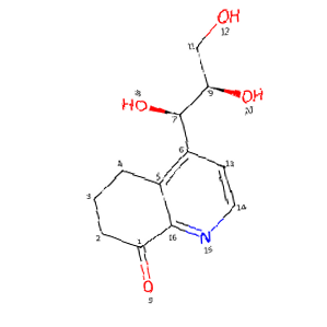 O=C1CCCc2c([C@@H](O)[C@H](O)CO)ccnc21